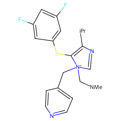 CNC[N+]1(Cc2ccncc2)C=NC(C(C)C)=C1Sc1cc(F)cc(F)c1